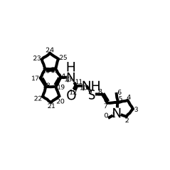 CN1CCCC1(C)/C=C/SNC(=O)Nc1c2c(cc3c1CCC3)CCC2